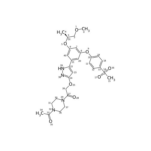 COC[C@H](C)Oc1cc(Oc2ccc(S(C)(=O)=O)cc2)cc(-c2cc(OCC(=O)N3CCN(C(C)=O)CC3)n[nH]2)c1